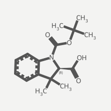 CC(C)(C)OC(=O)N1c2ccccc2C(C)(C)[C@@H]1C(=O)O